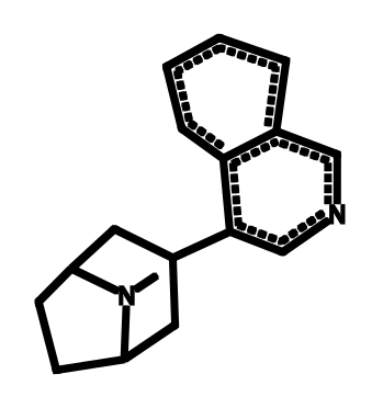 CN1C2CCC1CC(c1cncc3ccccc13)C2